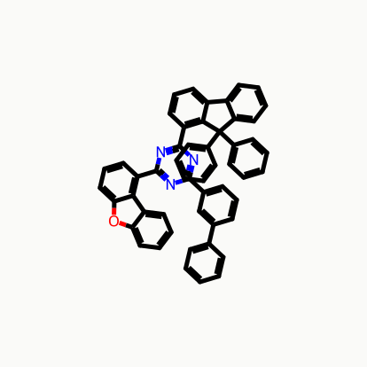 c1ccc(-c2cccc(-c3nc(-c4cccc5c4C(c4ccccc4)(c4ccccc4)c4ccccc4-5)nc(-c4cccc5oc6ccccc6c45)n3)c2)cc1